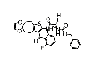 C[C@H](NC(=O)OCc1ccccc1)C(=O)Nc1sc2c(c1C(=O)c1c(F)cccc1F)CCC1(CC2)OC=CO1